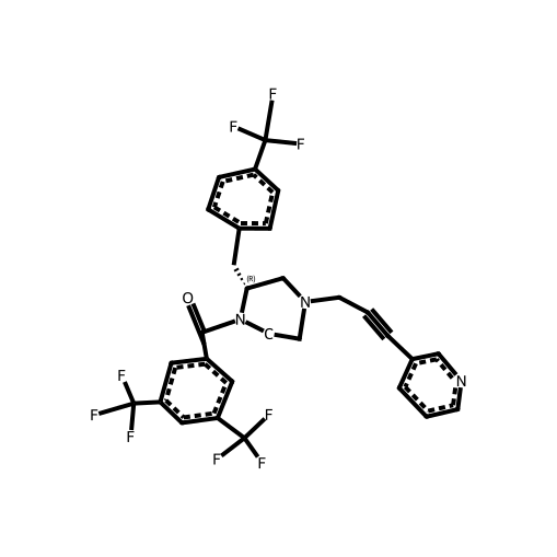 O=C(c1cc(C(F)(F)F)cc(C(F)(F)F)c1)N1CCN(CC#Cc2cccnc2)C[C@H]1Cc1ccc(C(F)(F)F)cc1